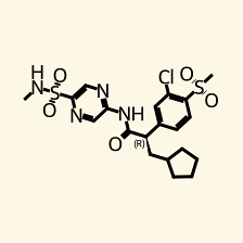 CNS(=O)(=O)c1cnc(NC(=O)[C@H](CC2CCCC2)c2ccc(S(C)(=O)=O)c(Cl)c2)cn1